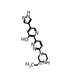 CC[C@H]1CN(c2ccc(-c3ncc(-c4cn[nH]c4)cc3O)nn2)CCN1